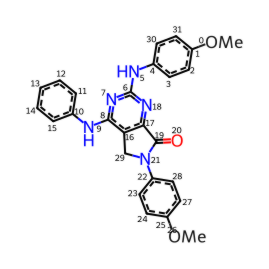 COc1ccc(Nc2nc(Nc3ccccc3)c3c(n2)C(=O)N(c2ccc(OC)cc2)C3)cc1